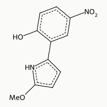 COc1ccc(-c2cc([N+](=O)[O-])ccc2O)[nH]1